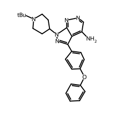 CC(C)(C)N1CCC(n2nc(-c3ccc(Oc4ccccc4)cc3)c3c(N)cnnc32)CC1